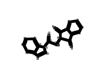 O=C1c2ccccc2C(=O)N1NC(=O)n1nnc2ccccc21